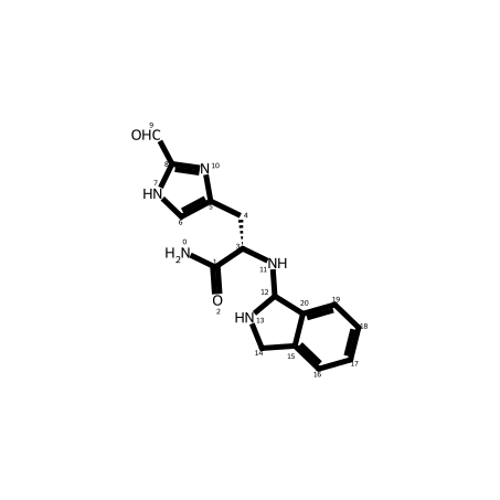 NC(=O)[C@H](Cc1c[nH]c(C=O)n1)NC1NCc2ccccc21